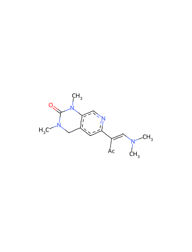 CC(=O)C(=CN(C)C)c1cc2c(cn1)N(C)C(=O)N(C)C2